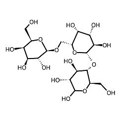 OC[C@H]1O[C@@H](OC[C@H]2O[C@@H](O[C@H]3[C@H](O)[C@@H](O)C(O)O[C@@H]3CO)[C@H](O)[C@@H](O)[C@H]2O)[C@H](O)[C@@H](O)[C@H]1O